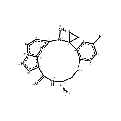 C[C@H]1COc2ncc(F)cc2C2(CC2)N(C)c2ccn3ncc(c3n2)C(=O)N1